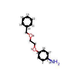 Nc1ccc(OCCOCc2ccccc2)cc1